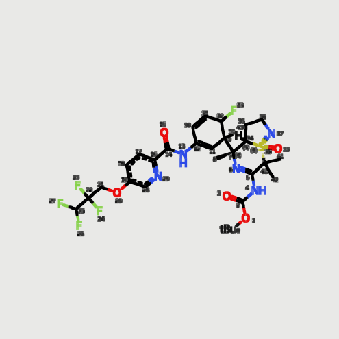 CC(C)(C)OC(=O)NC1=N[C@](C)(C2(C)C=C(NC(=O)c3ccc(OCC(F)(F)C(F)F)cn3)C=CC2F)[C@@H]2CCN=[S@]2(=O)C1(C)C